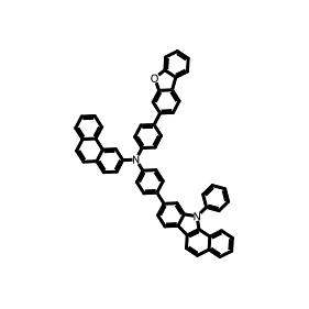 c1ccc(-n2c3cc(-c4ccc(N(c5ccc(-c6ccc7c(c6)oc6ccccc67)cc5)c5ccc6ccc7ccccc7c6c5)cc4)ccc3c3ccc4ccccc4c32)cc1